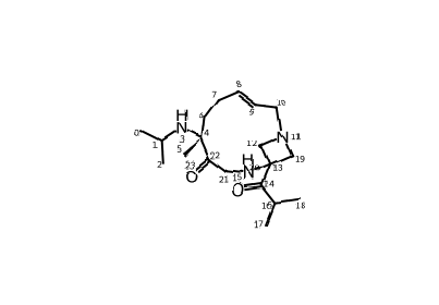 CC(C)N[C@]1(C)CC/C=C/CN2CC(C(=O)C(C)C)(C2)NCC1=O